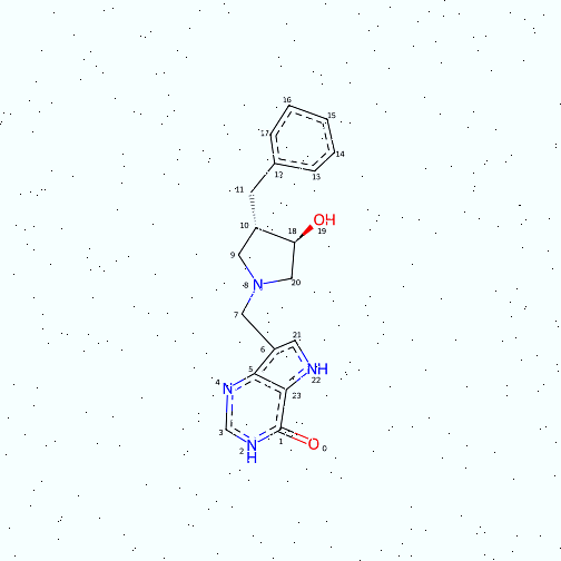 O=c1[nH]cnc2c(CN3C[C@H](Cc4ccccc4)[C@@H](O)C3)c[nH]c12